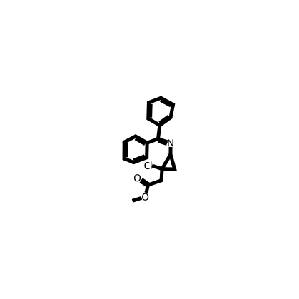 COC(=O)CC1(Cl)CC1N=C(c1ccccc1)c1ccccc1